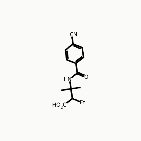 CCC(C(=O)O)C(C)(C)NC(=O)c1ccc(C#N)cc1